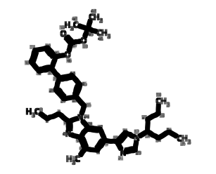 CCCc1nc2c(C)cc(-c3cn(C(CCC)CCC)cn3)cc2n1Cc1ccc(-c2ccccc2OC(=O)OC(C)(C)C)cc1